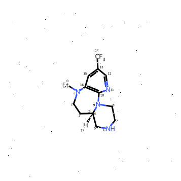 CCN1CC[C@H]2CNCCN2c2ncc(C(F)(F)F)cc21